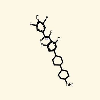 CCCC1CCC(C2CCC(c3cc(F)c(/C(F)=C(\F)c4cc(F)c(F)c(F)c4)c(F)c3)CC2)CC1